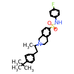 C[C@@H](Cc1ccc(C(C)(C)C)cc1)N1CCc2cc(S(=O)(=O)Nc3ccc(F)cc3)ccc2C1